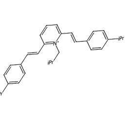 CC(C)C[n+]1c(/C=C/c2ccc(C(C)C)cc2)cccc1/C=C/c1ccc(C(C)C)cc1